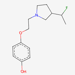 CC(F)C1CCN(CCOc2ccc(O)cc2)C1